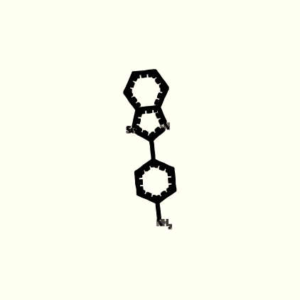 Nc1ccc(-c2nc3ccccc3[se]2)cc1